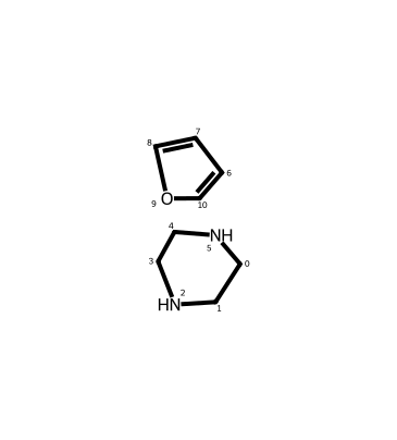 C1CNCCN1.c1ccoc1